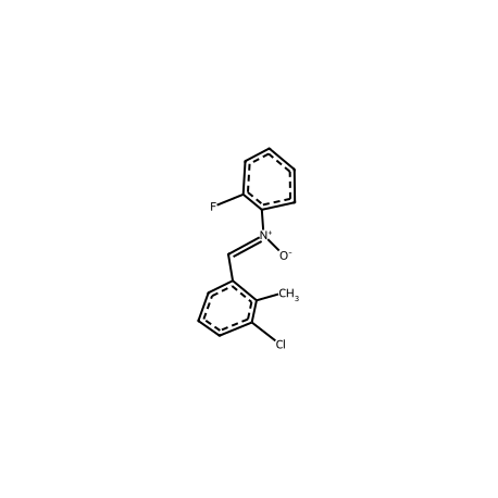 Cc1c(Cl)cccc1C=[N+]([O-])c1ccccc1F